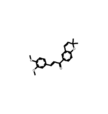 COc1ccc(/C=C/C(=O)c2ccc3c(c2)C=CC(C)(C)O3)cc1OC